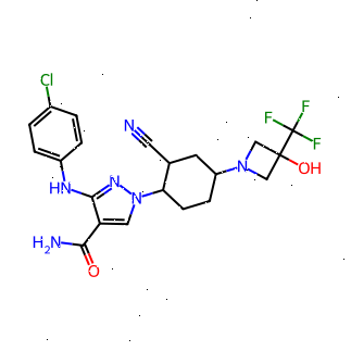 N#CC1CC(N2CC(O)(C(F)(F)F)C2)CCC1n1cc(C(N)=O)c(Nc2ccc(Cl)cc2)n1